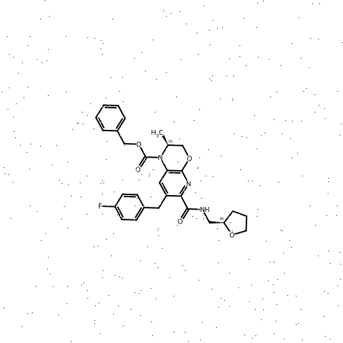 C[C@H]1COc2nc(C(=O)NC[C@H]3CCCO3)c(Cc3ccc(F)cc3)cc2N1C(=O)OCc1ccccc1